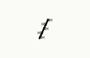 CCNCCCCNCCCCNCCCCNCCCCNC